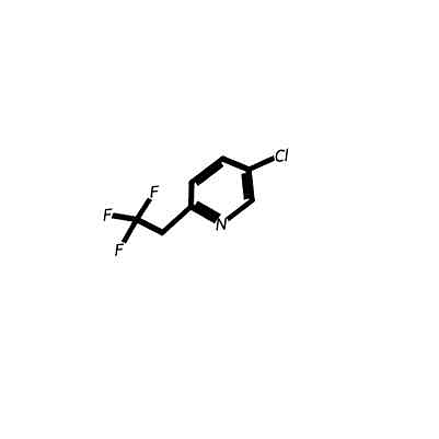 FC(F)(F)Cc1ccc(Cl)cn1